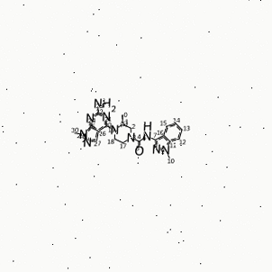 C[C@H]1CN(C(=O)Nc2nn(C)c3ccccc23)CCN1c1nc(N)nc2c1cnn2C